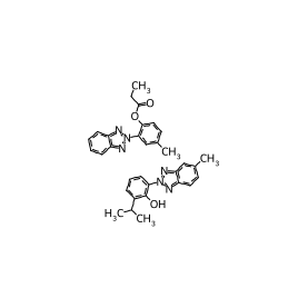 CCC(=O)Oc1ccc(C)cc1-n1nc2ccccc2n1.Cc1ccc2nn(-c3cccc(C(C)C)c3O)nc2c1